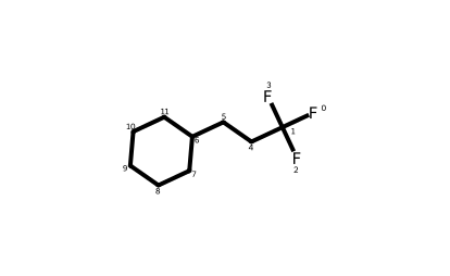 FC(F)(F)CCC1CCCCC1